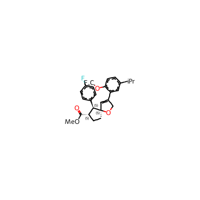 COC(=O)[C@H]1CC[C@@]2(C=C(c3cc(C(C)C)ccc3OC(F)(F)F)CO2)[C@@H]1c1ccc(F)cc1